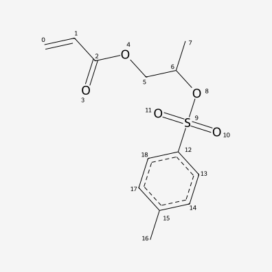 C=CC(=O)OCC(C)OS(=O)(=O)c1ccc(C)cc1